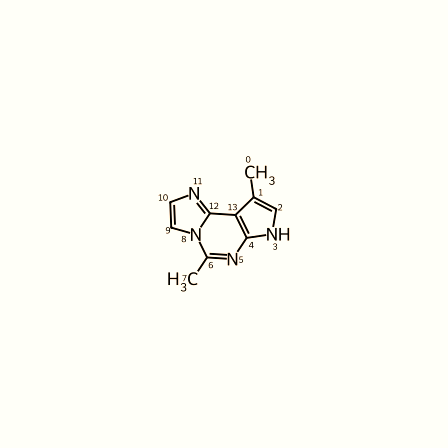 Cc1c[nH]c2nc(C)n3ccnc3c12